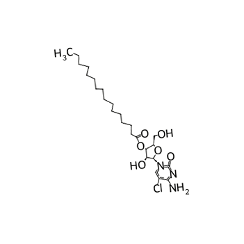 CCCCCCCCCCCCCCCC(=O)O[C@H]1[C@H](O)[C@H](n2cc(Cl)c(N)nc2=O)O[C@@H]1CO